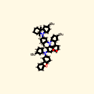 Cc1cc2c3c(c1)N(c1ccc(C(C)(C)C)cc1-c1ccccc1)c1cc(N4c5ccc(C(C)(C)C)cc5C5(C)CCCCC45C)ccc1B3c1ccc(C(C)(C)C)cc1N2c1ccc2oc3ccccc3c2c1